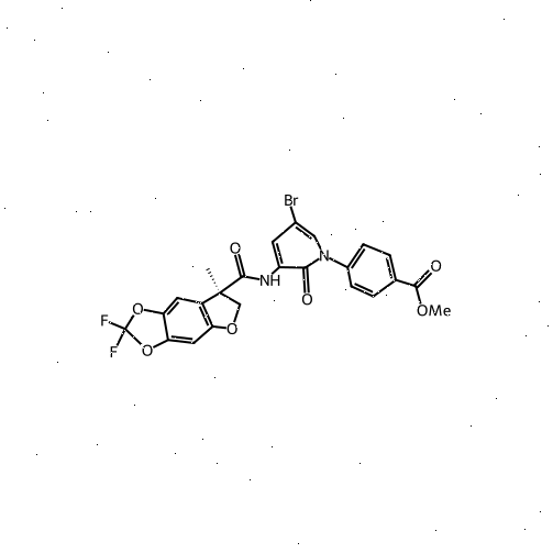 COC(=O)c1ccc(-n2cc(Br)cc(NC(=O)[C@@]3(C)COc4cc5c(cc43)OC(F)(F)O5)c2=O)cc1